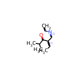 C=C/N=C\C(=C\C)C(=O)C(C)C